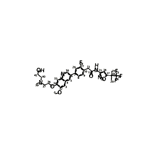 COc1cc2cc(-c3ccc(CC(=O)Nc4cc(C(C)(C)C(F)(F)F)on4)c(F)c3)cnc2cc1OCCN(C)CCO